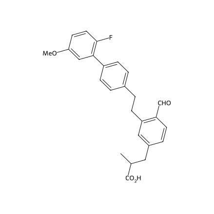 COc1ccc(F)c(-c2ccc(CCc3cc(CC(C)C(=O)O)ccc3C=O)cc2)c1